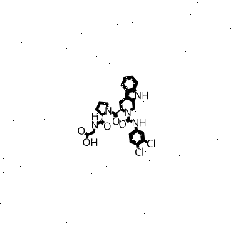 O=C(O)CNC(=O)[C@@H]1CCCN1C(=O)[C@H]1Cc2c([nH]c3ccccc23)CN1C(=O)Nc1ccc(Cl)c(Cl)c1